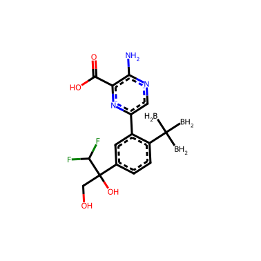 BC(B)(B)c1ccc(C(O)(CO)C(F)F)cc1-c1cnc(N)c(C(=O)O)n1